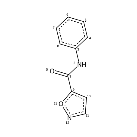 O=C(Nc1c[c]ccc1)c1ccno1